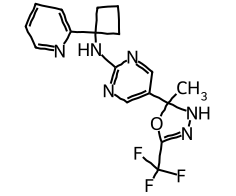 CC1(c2cnc(NC3(c4ccccn4)CCC3)nc2)NN=C(C(F)(F)F)O1